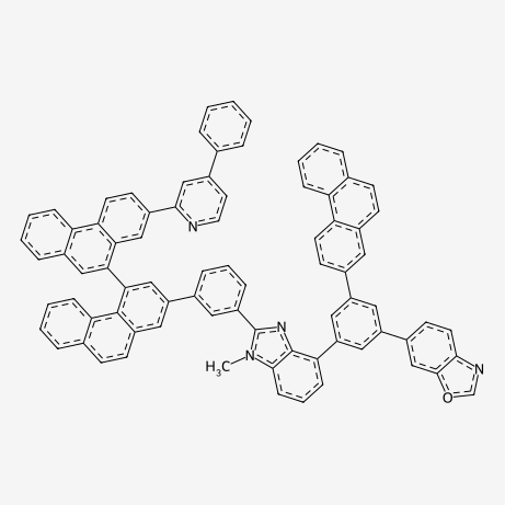 Cn1c(-c2cccc(-c3cc(-c4cc5ccccc5c5ccc(-c6cc(-c7ccccc7)ccn6)cc45)c4c(ccc5ccccc54)c3)c2)nc2c(-c3cc(-c4ccc5c(ccc6ccccc65)c4)cc(-c4ccc5ncoc5c4)c3)cccc21